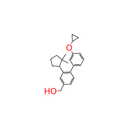 CC1(C)CCCC1c1cc(CO)ccc1-c1cccc(OC2CC2)c1